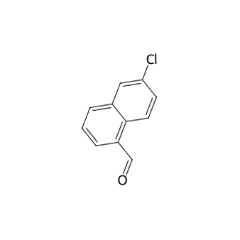 O=Cc1cccc2cc(Cl)ccc12